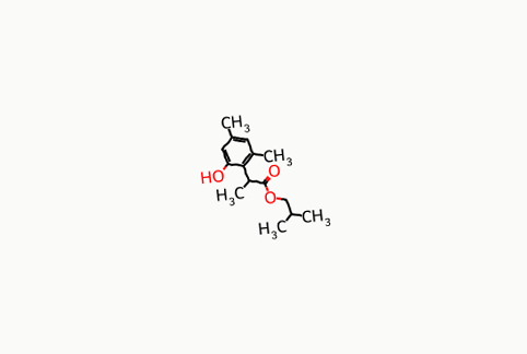 Cc1cc(C)c(C(C)C(=O)OCC(C)C)c(O)c1